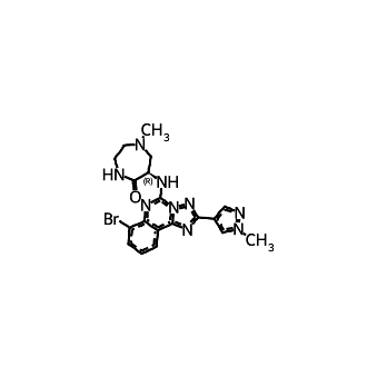 CN1CCNC(=O)[C@H](Nc2nc3c(Br)cccc3c3nc(-c4cnn(C)c4)nn23)C1